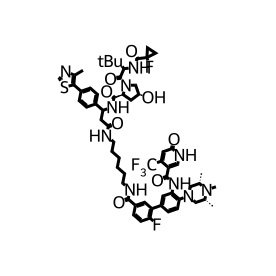 Cc1ncsc1-c1ccc(C(CC(=O)NCCCCCCNC(=O)c2ccc(F)c(-c3ccc(N4C[C@@H](C)N(C)[C@@H](C)C4)c(NC(=O)c4c[nH]c(=O)cc4C(F)(F)F)c3)c2)NC(=O)[C@@H]2C[C@@H](O)CN2C(=O)C(NC(=O)C2(F)CC2)C(C)(C)C)cc1